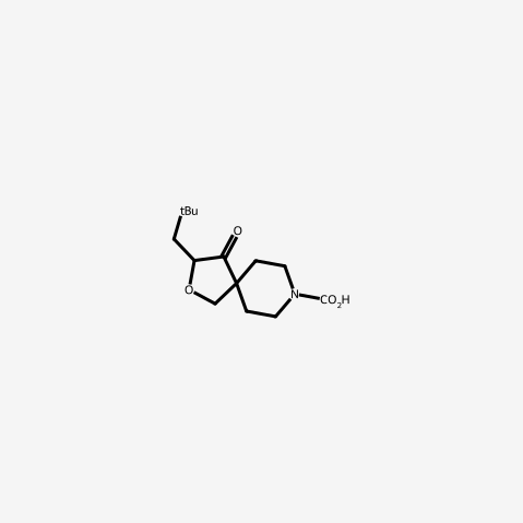 CC(C)(C)CC1OCC2(CCN(C(=O)O)CC2)C1=O